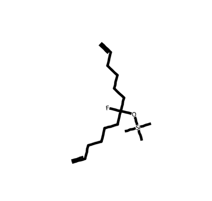 C=CCCCCC(F)(CCCCC=C)O[Si](C)(C)C